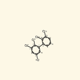 Clc1cc(Cl)c(Cl)c(-c2cccc(Cl)c2Cl)c1